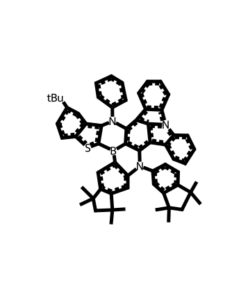 CC(C)(C)c1ccc2sc3c(c2c1)N(c1ccccc1)c1c2c(c4c5ccccc5n5c6ccccc6c1c45)N(c1ccc4c(c1)C(C)(C)CC4(C)C)c1cc4c(cc1B32)C(C)(C)CC4(C)C